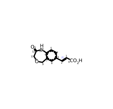 O=C(O)/C=C/c1ccc2c(c1)COCC(=O)N2